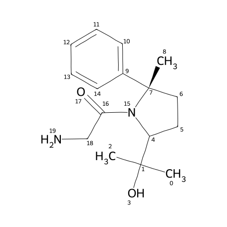 CC(C)(O)C1CC[C@@](C)(c2ccccc2)N1C(=O)CN